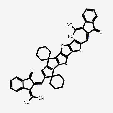 N#CC(C#N)=C1/C(=C/C2=CC3=C(c4sc5c(sc6cc(/C=C7/C(=O)c8ccccc8C7=C(C#N)C#N)sc65)c4C34CCCCC4)C23CCCCC3)C(=O)c2ccccc21